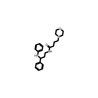 O=C(CCCN1CCOCC1)NCCC(Nc1ccccc1)c1ccccc1